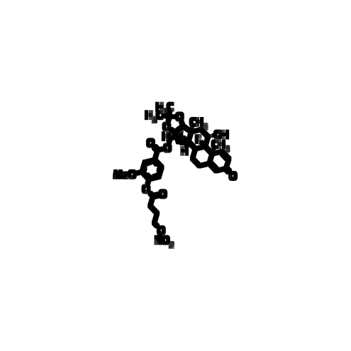 COc1cc(C(=O)OCC(=O)[C@@]23OC(C)(C)O[C@@H]2C[C@H]2C4CCC5=CC(=O)C=C[C@]5(C)[C@@]4(F)[C@@H](O)C[C@@]23C)ccc1OC(=O)CCCO[N+](=O)[O-]